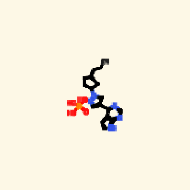 N#CCCC1CCC(n2cc(-c3ncnc4[nH]ccc34)cn2)C1.O=P(O)(O)O